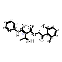 CC(=N)/C(C(=O)OCC(=O)c1c(F)cccc1F)=C(/N)Nc1ccccn1